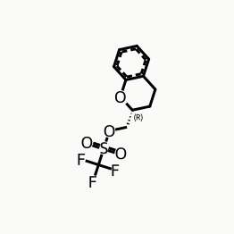 O=S(=O)(OC[C@H]1CCc2ccccc2O1)C(F)(F)F